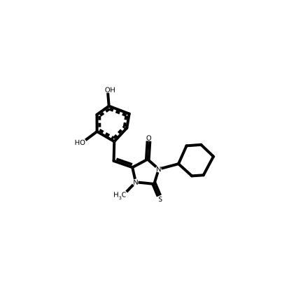 CN1C(=S)N(C2CCCCC2)C(=O)C1=Cc1ccc(O)cc1O